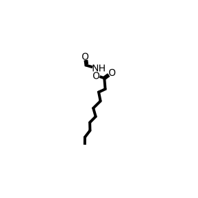 CCCCCCCCCC(=O)ONC=O